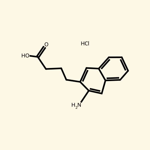 Cl.Nc1cc2ccccc2cc1CCCC(=O)O